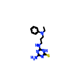 CCN(CCCNc1nc(N)nc(=S)[nH]1)c1ccccc1